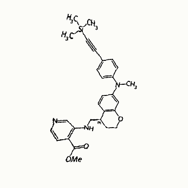 COC(=O)c1ccncc1NC[C@@H]1CCOc2cc(N(C)c3ccc(C#C[Si](C)(C)C)cc3)ccc21